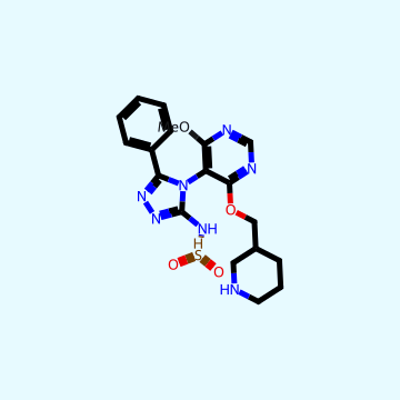 COc1ncnc(OCC2CCCNC2)c1-n1c(N[SH](=O)=O)nnc1-c1ccccc1